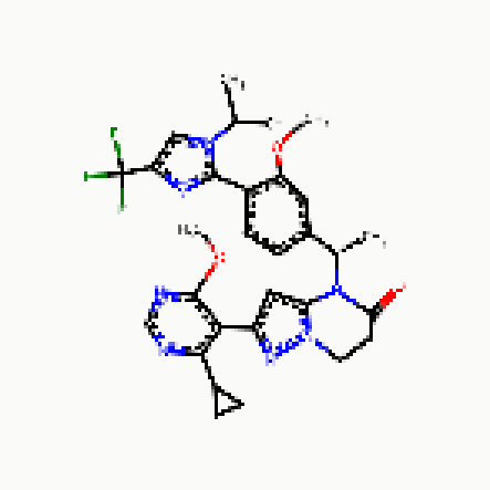 COc1cc([C@@H](C)N2C(=O)CCn3nc(-c4c(OC)ncnc4C4CC4)cc32)ccc1-c1nc(C(F)(F)F)cn1C(C)C